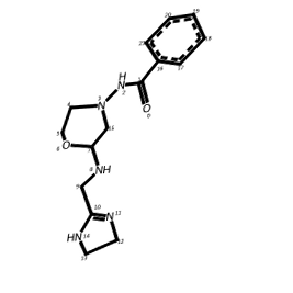 O=C(NN1CCOC(NCC2=NCCN2)C1)c1ccccc1